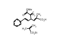 C=C(C(=O)OC)C(C=Cc1ccccc1)C=C(C)C(=O)O.C=C(C)C(=O)OCC